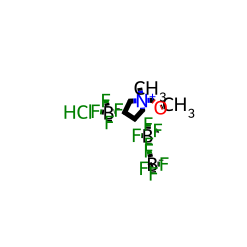 COC[N+]1(C)CCCC1.Cl.F[B-](F)(F)F.F[B-](F)(F)F.F[B-](F)(F)F